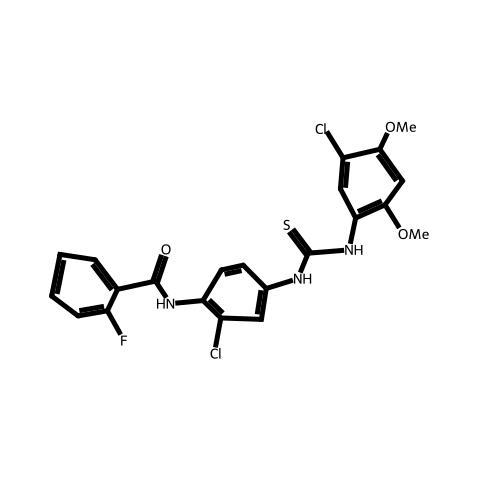 COc1cc(OC)c(NC(=S)Nc2ccc(NC(=O)c3ccccc3F)c(Cl)c2)cc1Cl